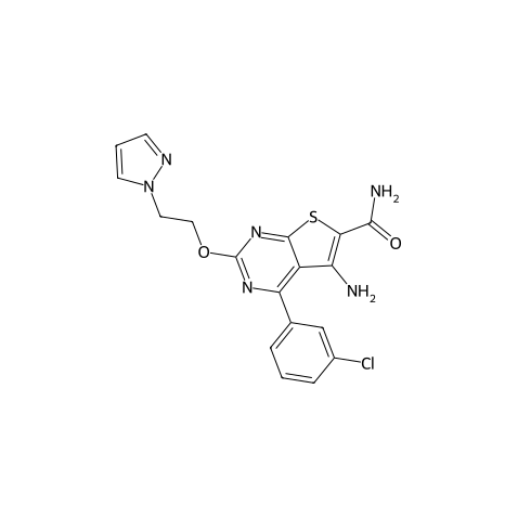 NC(=O)c1sc2nc(OCCn3cccn3)nc(-c3cccc(Cl)c3)c2c1N